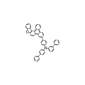 c1ccc(-c2ccc(N(c3ccc(-c4ccc5c6ccccc6c6c(ccc7oc8ccccc8c76)c5c4)cc3)c3cccc(-c4ccccc4)c3)cc2)cc1